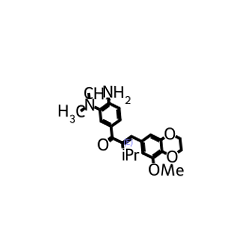 COc1cc(/C=C(/C(=O)c2ccc(N)c(N(C)C)c2)C(C)C)cc2c1OCCO2